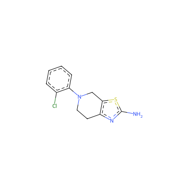 Nc1nc2c(s1)CN(c1ccccc1Cl)CC2